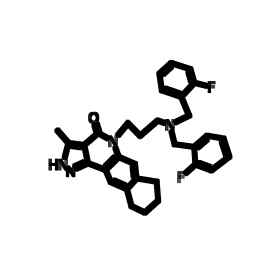 Cc1[nH]nc2c1c(=O)n(CCCN(Cc1ccccc1F)Cc1ccccc1F)c1cc3c(cc21)CCCC3